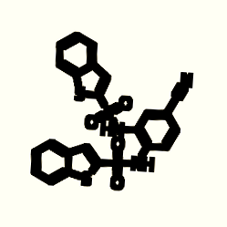 N#Cc1ccc(NS(=O)(=O)c2cc3ccccc3s2)c(NS(=O)(=O)c2cc3ccccc3s2)c1